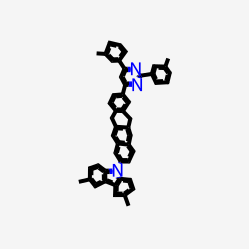 Cc1cccc(-c2cc(-c3ccc4c(c3)Cc3cc5ccc(-n6c7ccc(C)cc7c7cc(C)ccc76)cc5cc3C4)nc(-c3cccc(C)c3)n2)c1